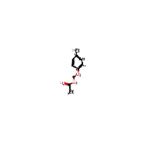 CCC(=O)OCOc1ccc(CC)cc1